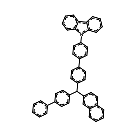 c1ccc(-c2ccc(C(c3ccc(-c4ccc(-n5c6ccccc6c6ccccc65)cc4)cc3)c3ccc4ccccc4c3)cc2)cc1